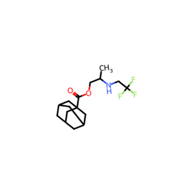 CC(COC(=O)C12CC3CC(CC(C3)C1)C2)NCC(F)(F)F